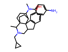 CC1N(CC2CC2)CC2Cc3ccc(O)cc3C23C2CCC13CCC2N(C)c1ccc(N)cc1